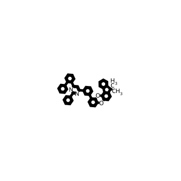 CC1(C)c2ccccc2-c2c1ccc1c2Oc2c(cccc2-c2cccc(-c3cc(-c4ccccc4-c4ccccc4)nc(-c4ccccc4)n3)c2)O1